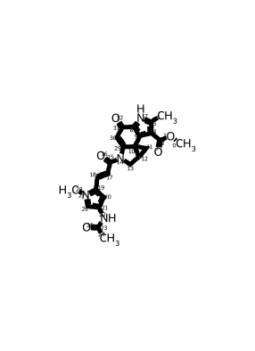 COC(=O)c1c(C)[nH]c2c1C13CC1CN(C(=O)/C=C/c1cc(NC(C)=O)cn1C)C3=CC2=O